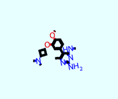 CNc1nc(N)nc(C)c1-c1ccc(OC)c(O[C@H]2C[C@H](N(C)C)C2)c1